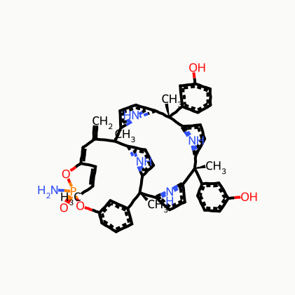 C=C1/C=C(\C=C/C)OP(N)(=O)Oc2cccc(c2)[C@]2(C)c3ccc([nH]3)[C@@]1(C)c1ccc([nH]1)[C@](C)(c1cccc(O)c1)c1ccc([nH]1)[C@](C)(c1cccc(O)c1)c1ccc2[nH]1